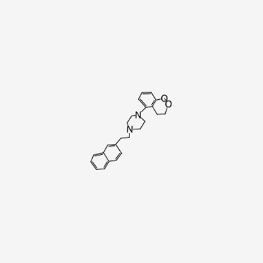 c1cc2c(c(N3CCN(CCc4ccc5ccccc5c4)CC3)c1)CCOO2